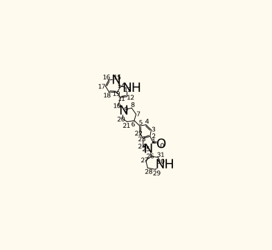 O=C1c2ccc(C3CCN(Cc4c[nH]c5ncccc45)CC3)cc2CN1C1CCCNC1